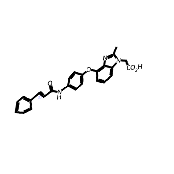 Cc1nc2c(Oc3ccc(NC(=O)/C=C/c4ccccc4)cc3)cccc2n1CC(=O)O